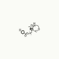 CCn1nc(CC(C)(C)COC(=O)c2ccc(OC)cc2)c2c1C(=O)NCCCOCCC2